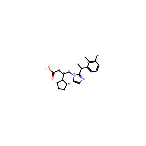 Cc1cccc(C(C)c2nccn2CC(CC(=O)O)C2CCCC2)c1C